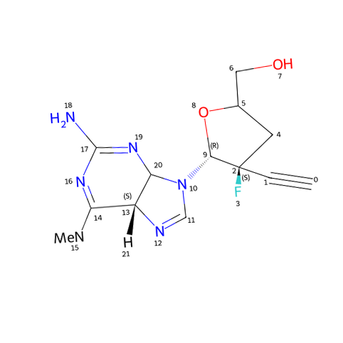 C#C[C@@]1(F)CC(CO)O[C@H]1N1C=N[C@@H]2C(NC)=NC(N)=NC21